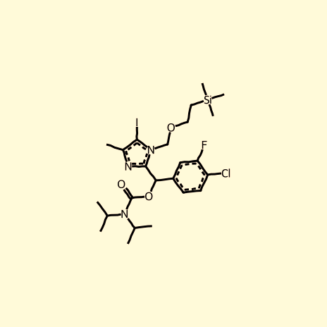 Cc1nc(C(OC(=O)N(C(C)C)C(C)C)c2ccc(Cl)c(F)c2)n(COCC[Si](C)(C)C)c1I